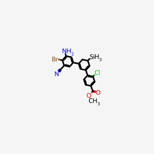 COC(=O)c1ccc(C2=CC([SiH3])CC(c3cc(N)c(Br)c(C#N)c3)=C2)c(Cl)c1